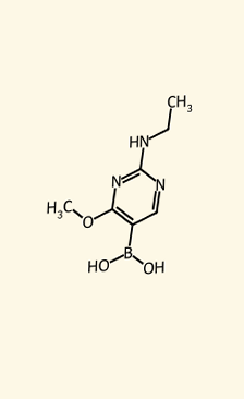 CCNc1ncc(B(O)O)c(OC)n1